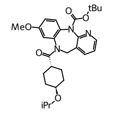 COc1ccc2c(c1)N(C(=O)[C@H]1CC[C@H](OC(C)C)CC1)Cc1cccnc1N2C(=O)OC(C)(C)C